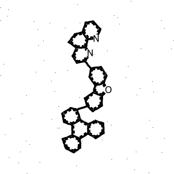 c1cnc2c(c1)ccc1ccc(-c3ccc4oc5ccc(-c6cccc7c8ccccc8c8ccccc8c67)cc5c4c3)nc12